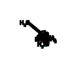 CCCCCCCCCCCCCCCCCCOC[C@H](COP(=O)(OC[C@@](C#N)(OC)[C@H]1OC(C)(C)O[C@H]1c1ccc2c(N)ncnn12)Oc1ccccc1Cl)OCc1ccc(C#N)nc1